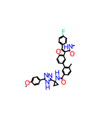 CNC(=O)c1c(-c2ccc(F)cc2)oc2ccc(-c3cc(C(=O)NC4(c5nnc(-c6ccc(OC)cc6)[nH]5)CC4)ccc3C)cc12